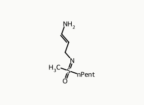 CCCCCS(C)(=O)=NCC=CN